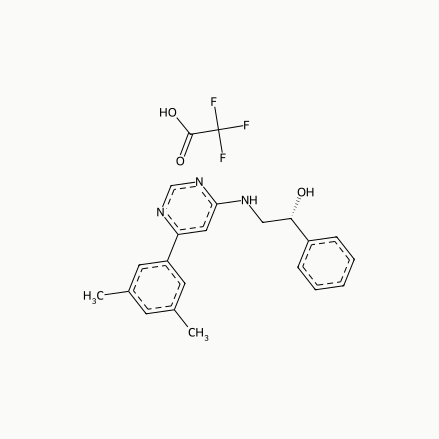 Cc1cc(C)cc(-c2cc(NC[C@H](O)c3ccccc3)ncn2)c1.O=C(O)C(F)(F)F